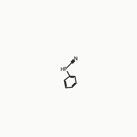 N#CPc1ccccc1